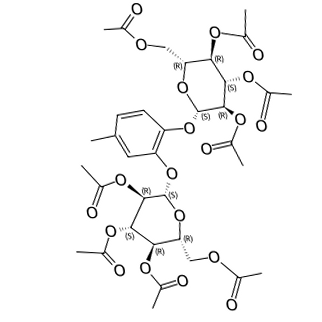 CC(=O)OC[C@H]1O[C@@H](Oc2ccc(C)cc2O[C@@H]2O[C@H](COC(C)=O)[C@@H](OC(C)=O)[C@H](OC(C)=O)[C@H]2OC(C)=O)[C@H](OC(C)=O)[C@@H](OC(C)=O)[C@@H]1OC(C)=O